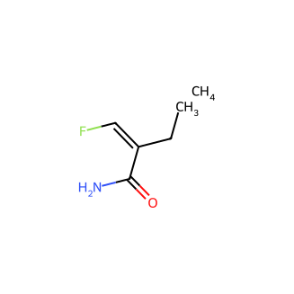 C.CCC(=CF)C(N)=O